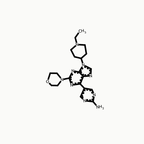 CCN1CCC(n2cnc3c(-c4cnc(N)nc4)nc(N4CCOCC4)nc32)CC1